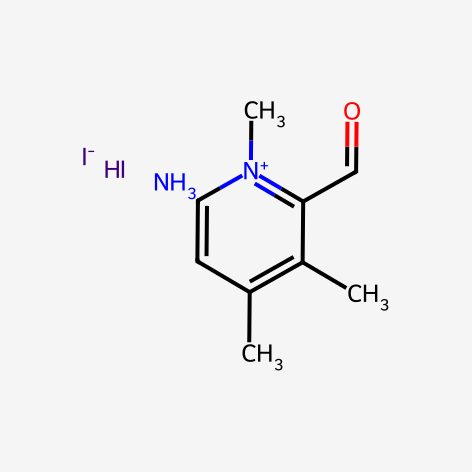 Cc1cc[n+](C)c(C=O)c1C.I.N.[I-]